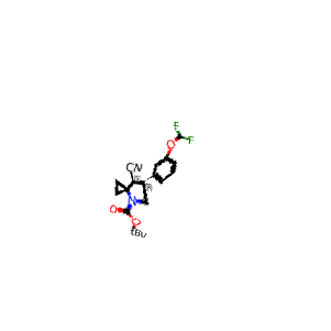 CC(C)(C)OC(=O)N1C[C@@H](c2cccc(OC(F)F)c2)[C@H](C#N)C12CC2